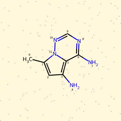 Cc1cc(N)c2c(N)ncnn12